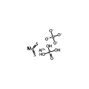 O=P(O)(O)O.[Al+3].[K+].[O-][Si]([O-])([O-])[O-].[S]=[Mo]=[S]